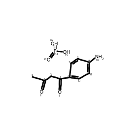 CC(=O)CC(=O)c1ccc(N)cc1.O=[PH](O)O